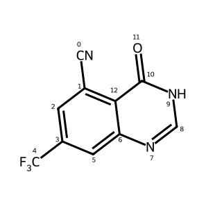 N#Cc1cc(C(F)(F)F)cc2nc[nH]c(=O)c12